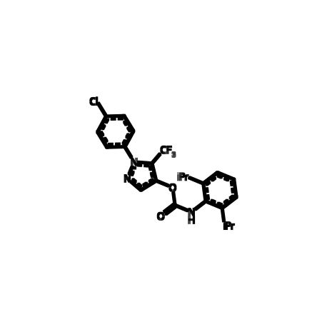 CC(C)c1cccc(C(C)C)c1NC(=O)Oc1cnn(-c2ccc(Cl)cc2)c1C(F)(F)F